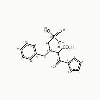 O=C(O)C(C(=O)c1cccs1)N(Cc1ccccc1)CP(=O)(O)O